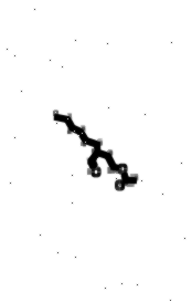 CCCCCCC([C]=O)CCOC(C)=O